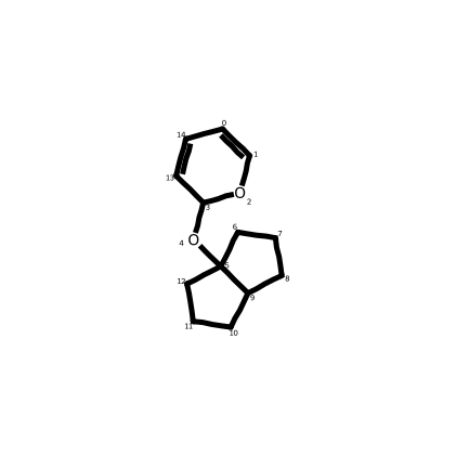 C1=COC(OC23CCCC2CCC3)C=C1